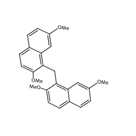 COc1ccc2ccc(OC)c(Cc3c(OC)ccc4ccc(OC)cc34)c2c1